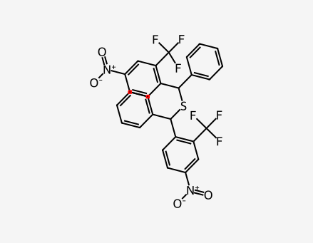 O=[N+]([O-])c1ccc(C(SC(c2ccccc2)c2ccc([N+](=O)[O-])cc2C(F)(F)F)c2ccccc2)c(C(F)(F)F)c1